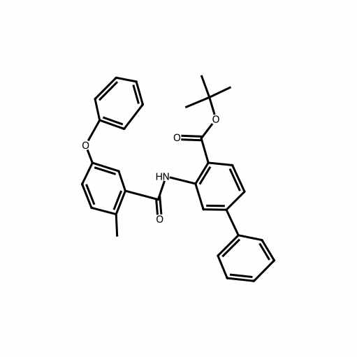 Cc1ccc(Oc2ccccc2)cc1C(=O)Nc1cc(-c2ccccc2)ccc1C(=O)OC(C)(C)C